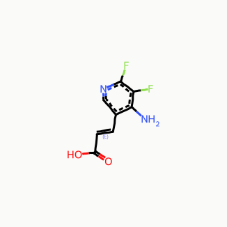 Nc1c(/C=C/C(=O)O)cnc(F)c1F